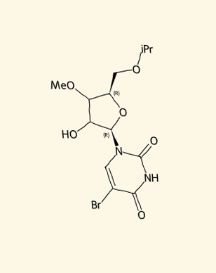 COC1C(O)[C@H](n2cc(Br)c(=O)[nH]c2=O)O[C@@H]1COC(C)C